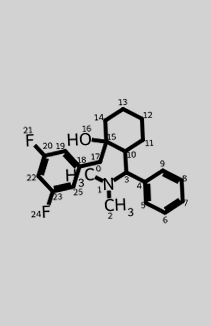 CN(C)C(c1ccccc1)C1CCCCC1(O)Cc1cc(F)cc(F)c1